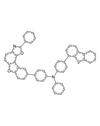 c1ccc(-c2nc3ccc4oc5ccc(-c6ccc(N(c7ccccc7)c7ccc(-c8cccc9c8sc8ccccc89)cc7)cc6)cc5c4c3o2)cc1